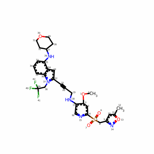 COc1cc(S(=O)(=O)Cc2cc(C)on2)ncc1NCC#Cc1cc2c(NC3CCOCC3)cccc2n1CC(F)(F)F